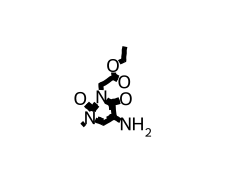 CCOC(=O)Cn1c(=O)c(N)cn(C)c1=O